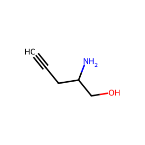 C#CCC(N)CO